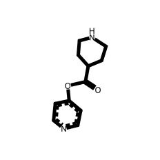 O=C(Oc1ccncc1)C1CCNCC1